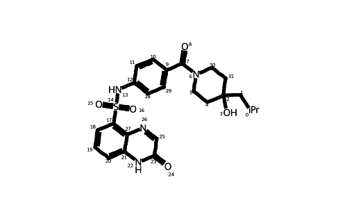 CC(C)CC1(O)CCN(C(=O)c2ccc(NS(=O)(=O)c3cccc4[nH]c(=O)cnc34)cc2)CC1